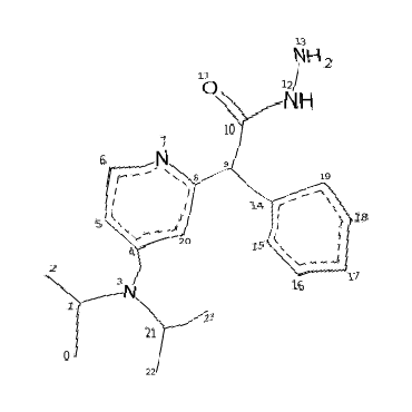 CC(C)N(c1ccnc(C(C(=O)NN)c2ccccc2)c1)C(C)C